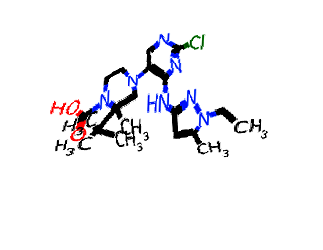 CCn1nc(Nc2nc(Cl)ncc2N2CCN(C(=O)O)C(C)(C(C)(C)C)C2)cc1C